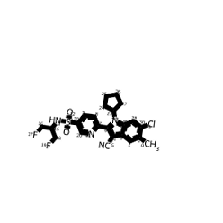 Cc1cc2c(C#N)c(-c3ccc(S(=O)(=O)NC(CF)CF)cn3)n(C3CCCC3)c2cc1Cl